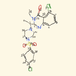 CC(c1nc2cccc(Cl)c2c(=O)n1C)N1CCN(S(=O)(=O)c2ccc(Cl)cc2)CC1